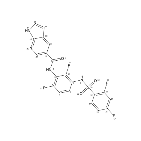 O=C(Nc1c(F)ccc(NS(=O)(=O)c2ccc(F)cc2F)c1F)c1cnc2[nH]ccc2c1